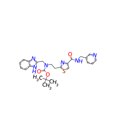 CC(C)(C)OC(=O)N(CCc1nc(C(=O)NCc2cccnc2)cs1)Cc1nc2ccccc2[nH]1